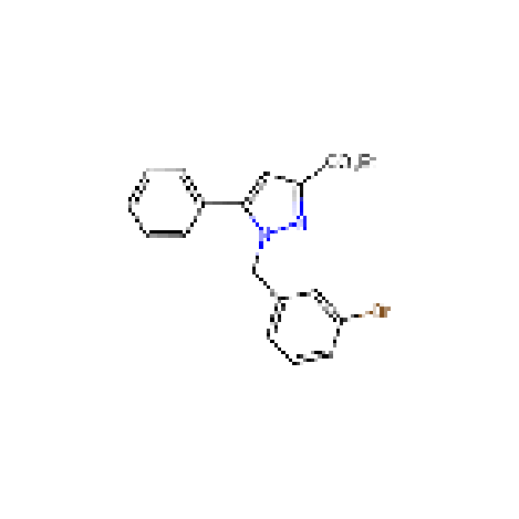 CCOC(=O)c1cc(-c2ccccc2)n(Cc2cccc(Br)c2)n1